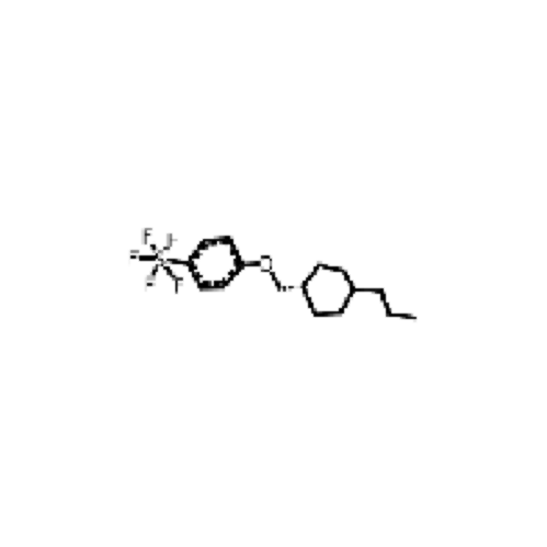 CCC[C@H]1CC[C@H](COc2ccc(S(F)(F)(F)(F)F)cc2)CC1